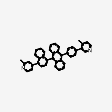 Cc1cc(-c2ccc(-c3c4ccccc4c(-c4ccc(-c5cnccc5C)cc4)c4ccccc34)c3ccccc23)ccn1